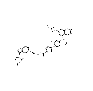 COC1CN(c2cc(N3CCOc4cc(-c5ccc(C(=O)NCC#Cc6ccc7occ(C8CCC(=O)NC8=O)c7c6)nc5)c(F)cc43)c3cc(C)c(=O)n(C)c3c2)C1